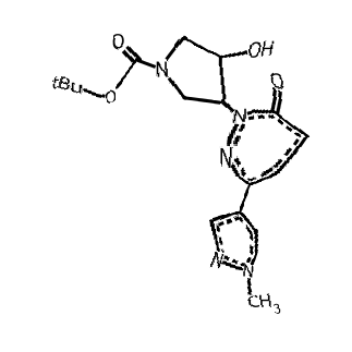 Cn1cc(-c2ccc(=O)n(C3CN(C(=O)OC(C)(C)C)CC3O)n2)cn1